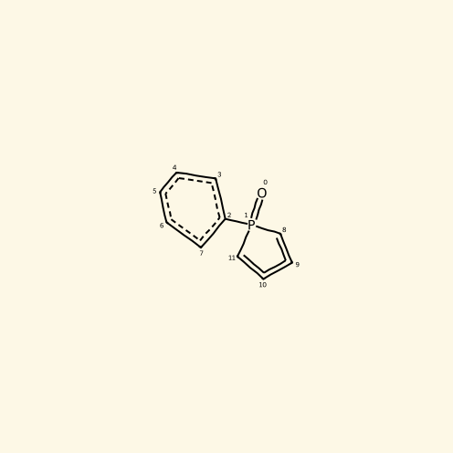 O=P1(c2ccccc2)C=C=C=C1